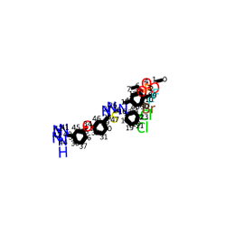 CCOP(=O)(OCC)C(F)(F)c1ccc(CN(c2ccc(Cl)c(Cl)c2)c2nnc(-c3cccc(Oc4cccc(-c5nnn[nH]5)c4)c3)s2)cc1Br